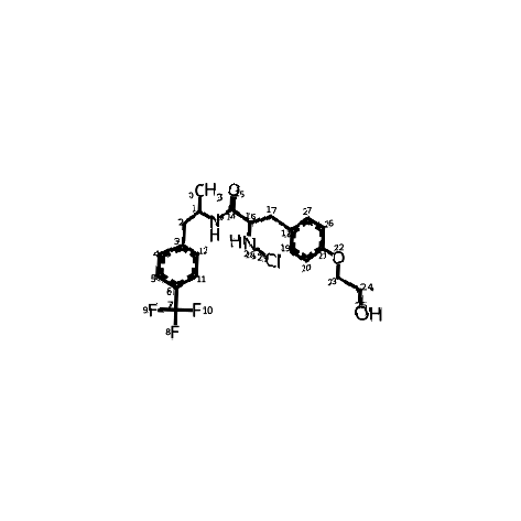 CC(Cc1ccc(C(F)(F)F)cc1)NC(=O)C(Cc1ccc(OCCO)cc1)NCl